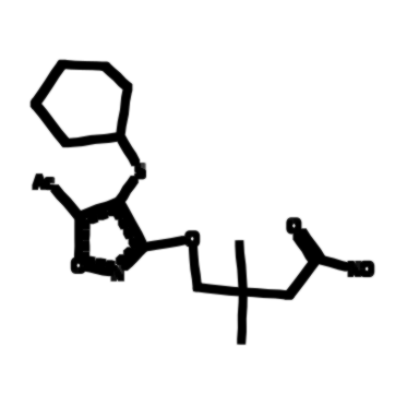 CC(=O)c1onc(OCC(C)(C)CC(=O)N=O)c1SC1CCCCC1